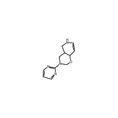 C1=CC2OCN(c3ncccn3)CC2CN1